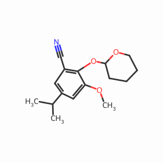 COc1cc(C(C)C)cc(C#N)c1OC1CCCCO1